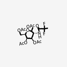 CC(=O)OC[C@H]1OC(OC(C)=O)[C@H](NC(=O)C(C)(F)F)[C@@H](OC(C)=O)[C@H]1OC(C)=O